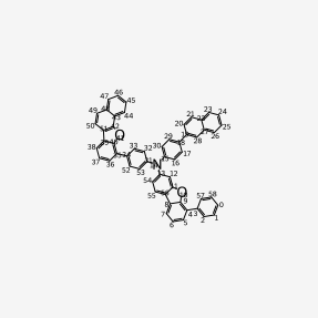 c1ccc(-c2cccc3c2oc2cc(N(c4ccc(-c5ccc6ccccc6c5)cc4)c4ccc(-c5cccc6c5oc5c7ccccc7ccc65)cc4)ccc23)cc1